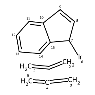 C=C=C.C=C=C.[Ir][CH]1C=Cc2ccccc21